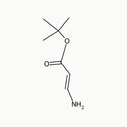 CC(C)(C)OC(=O)C=CN